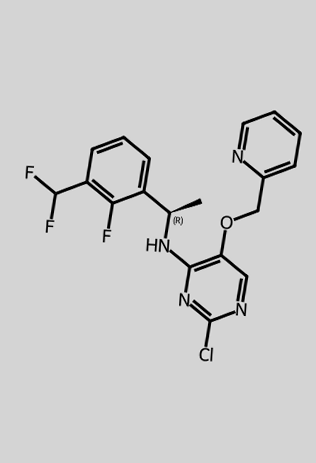 C[C@@H](Nc1nc(Cl)ncc1OCc1ccccn1)c1cccc(C(F)F)c1F